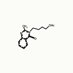 CC(=O)OCCCCn1c(C)nc2ccccc2c1=O